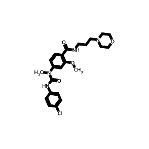 COc1cc(N(C)C(=O)Nc2ccc(Cl)cc2)ccc1C(=O)NCCCN1CCOCC1